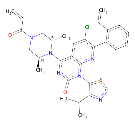 C=CC(=O)N1C[C@H](C)N(c2nc(=O)n(-c3scnc3C(C)C)c3nc(-c4ccccc4C=C)c(Cl)cc23)[C@@H](C)C1